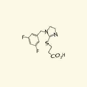 O=C(O)CCSC1=NCCN1Cc1cc(F)cc(F)c1